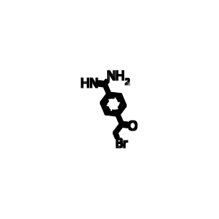 N=C(N)c1ccc(C(=O)CBr)cc1